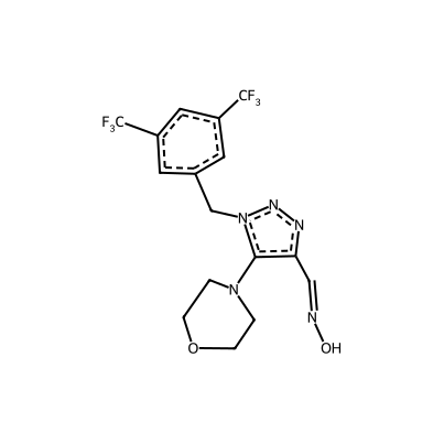 ON=Cc1nnn(Cc2cc(C(F)(F)F)cc(C(F)(F)F)c2)c1N1CCOCC1